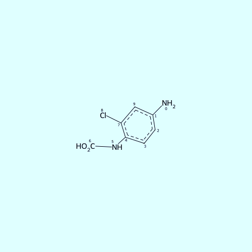 Nc1ccc(NC(=O)O)c(Cl)c1